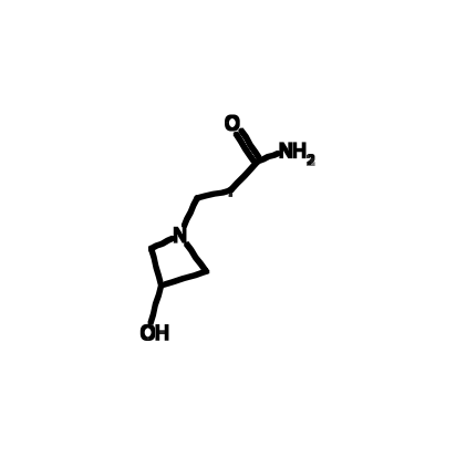 NC(=O)[CH]CN1CC(O)C1